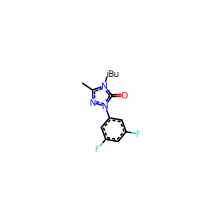 CCC(C)n1c(C)nn(-c2cc(F)cc(F)c2)c1=O